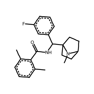 Cc1cccc(C)c1C(=O)NC(c1cccc(F)c1)C12CCC(CC1)N2C